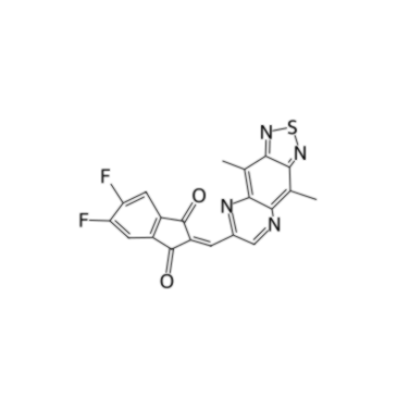 Cc1c2ncc(C=C3C(=O)c4cc(F)c(F)cc4C3=O)nc2c(C)c2nsnc12